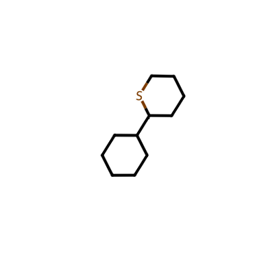 C1CCC([C]2CCCCS2)CC1